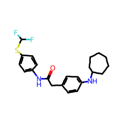 O=C(Cc1ccc(NC2CCCCCC2)cc1)Nc1ccc(SC(F)F)cc1